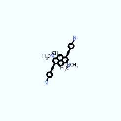 CN(C)c1cc(C#Cc2ccc(C#N)cc2)c2ccc3c(N(C)C)cc(C#Cc4ccc(C#N)cc4)c4ccc1c2c43